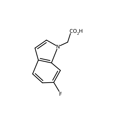 O=C(O)Cn1ccc2ccc(F)cc21